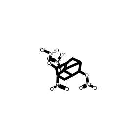 O=[N+]([O-])OC1C2CC3C(O[N+](=O)[O-])C1CC(C2O[N+](=O)[O-])N3[N+](=O)[O-]